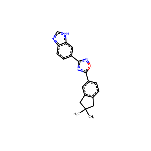 CC1(C)Cc2ccc(-c3nc(-c4ccc5nc[nH]c5c4)no3)cc2C1